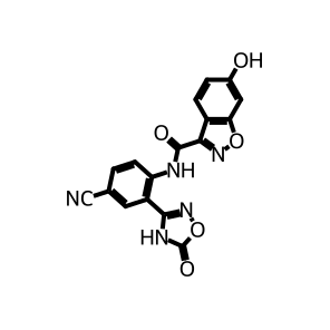 N#Cc1ccc(NC(=O)c2noc3cc(O)ccc23)c(-c2noc(=O)[nH]2)c1